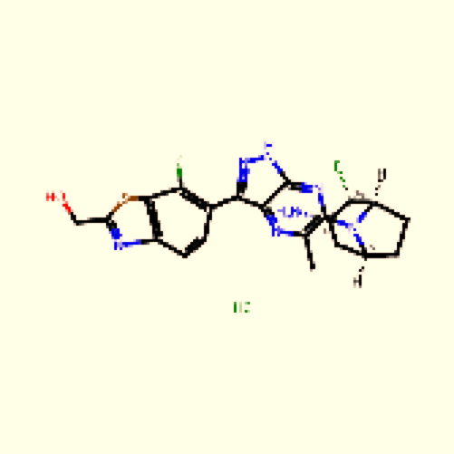 Cc1nc2c(-c3ccc4nc(CO)sc4c3Cl)n[nH]c2nc1N1[C@H]2CC[C@@H]1[C@@H](F)[C@@H](N)C2.Cl